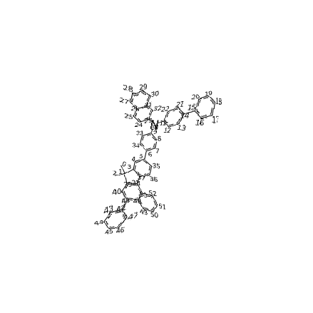 CC1(C)c2cc(-c3ccc(N(c4ccc(-c5ccccc5)cc4)c4ccc5ccccc5c4)cc3)ccc2-c2c1cc(-c1ccccc1)c1ccccc21